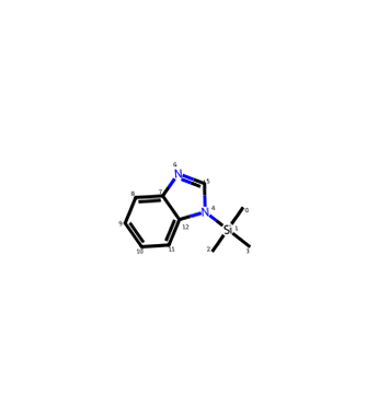 C[Si](C)(C)n1[c]nc2ccccc21